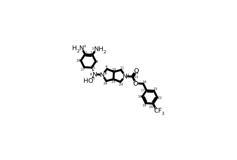 NC1=C(N)C[C@H](N(O)N2CC3CN(C(=O)OCc4ccc(C(F)(F)F)cc4)CC3C2)CC1